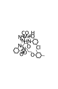 COc1ccc(Cl)cc1NC(=O)C(C1=Nc2ccccc2S(=O)(=O)N1CCCOc1ccc(C)cc1C)n1cnc(C(=O)O)c1